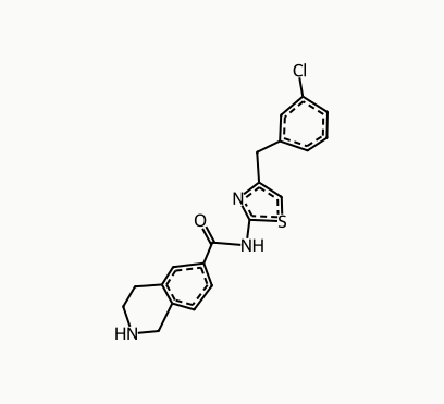 O=C(Nc1nc(Cc2cccc(Cl)c2)cs1)c1ccc2c(c1)CCNC2